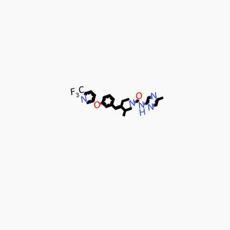 Cc1cnc(NC(=O)N2CCC(=Cc3cccc(Oc4ccc(C(F)(F)F)nc4)c3)C(C)C2)cn1